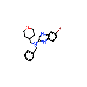 Brc1ccc2nc(N(Cc3ccccc3)CC3CCOCC3)cnc2c1